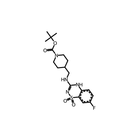 CC(C)(C)OC(=O)N1CCC(CNC2=NS(=O)(=O)c3cc(F)ccc3N2)CC1